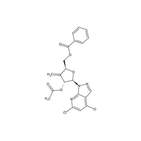 C=C1[C@@H](OC(C)=O)[C@H](n2ncc3c(Cl)cc(Cl)nc32)O[C@@H]1COC(=O)c1ccccc1